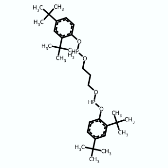 CC(C)(C)c1ccc(OPOCCCOPOc2ccc(C(C)(C)C)cc2C(C)(C)C)c(C(C)(C)C)c1